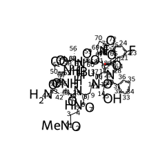 CNC(=O)CCNC(=O)[C@H](CCN(C(=O)CO)[C@@H](c1cc(-c2cc(F)ccc2F)cn1Cc1ccccc1)C(C)(C)C)NC(=O)[C@H](CC(N)=O)NC(=O)[C@H](CC(=O)O)NC(=O)[C@H](C)NC(=O)CCCC(=O)ON1C(=O)CCC1=O